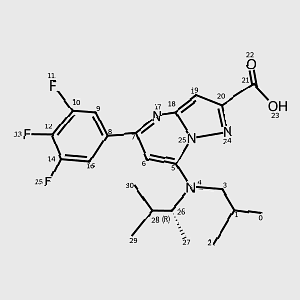 CC(C)CN(c1cc(-c2cc(F)c(F)c(F)c2)nc2cc(C(=O)O)nn12)[C@H](C)C(C)C